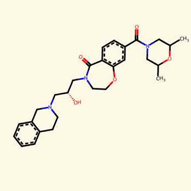 CC1CN(C(=O)c2ccc3c(c2)OCCN(C[C@H](O)CN2CCc4ccccc4C2)C3=O)CC(C)O1